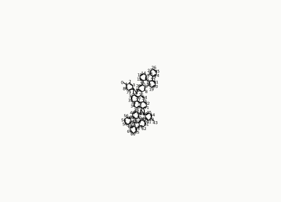 Cc1ccc(N(c2cccc(-c3ccccc3-c3ccccc3-c3ccccc3)c2)c2ccc3ccc4c(N(c5ccc(C)cc5)c5cccc(C6(c7ccccc7)c7ccccc7-c7ccccc76)c5)ccc5ccc2c3c54)cc1